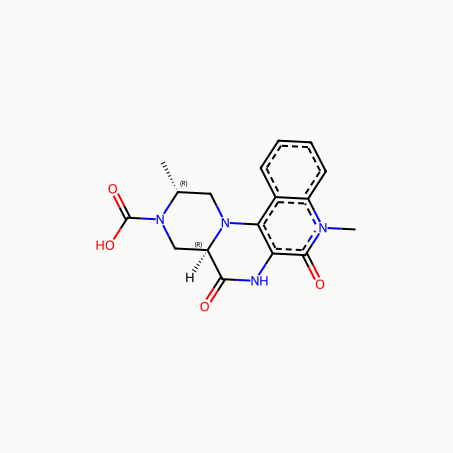 C[C@@H]1CN2c3c(c(=O)n(C)c4ccccc34)NC(=O)[C@H]2CN1C(=O)O